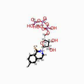 Cc1ccc2c(=S)n([C@@H]3O[C@H](COP(=O)(O)OP(=O)(O)OP(=O)(O)O)[C@H](O)[C@@H]3O)ccc2c1